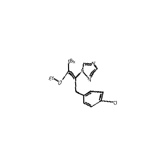 CCOC(=C(Cc1ccc(Cl)cc1)n1cncn1)C(C)(C)C